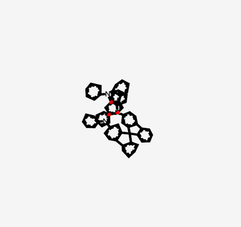 c1ccc(N(c2ccccc2)c2ccc3c(c2)C2(c4ccccc4-3)c3ccccc3-c3ccc(N(c4ccccc4)c4ccc5c6ccccc6n(-c6ccccc6)c5c4)cc32)cc1